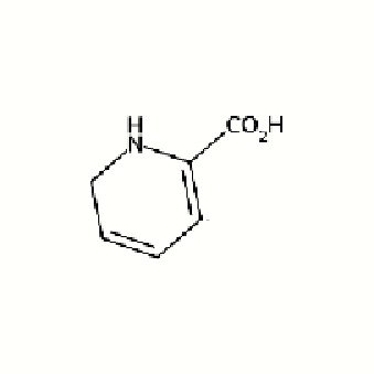 O=C(O)C1=[C]C=CCN1